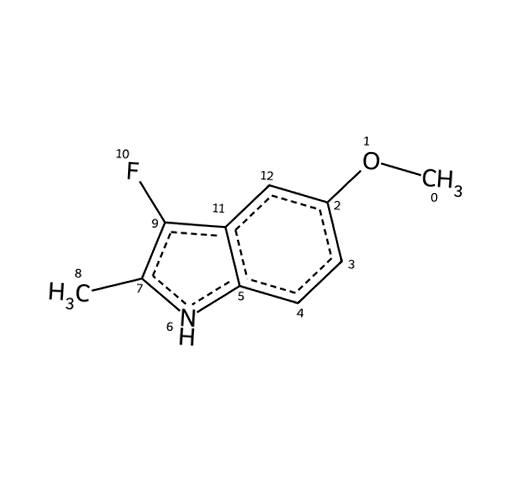 COc1ccc2[nH]c(C)c(F)c2c1